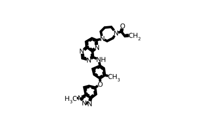 C=CC(=O)N1CCCN(c2ccc3ncnc(Nc4ccc(Oc5ccc6c(c5)nnn6C)c(C)c4)c3n2)CC1